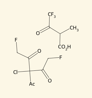 CC(=O)C(Cl)(C(=O)CF)C(=O)CF.CC(C(=O)O)C(=O)C(F)(F)F